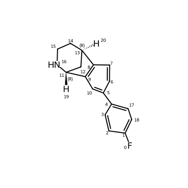 Fc1ccc(-c2ccc3c(c2)[C@H]2C[C@H]3CCN2)cc1